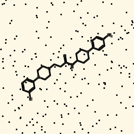 O=C(CCN1CCN(c2cccc(Cl)c2)CC1)NC1CCN(c2ccc(C(F)(F)F)cn2)CC1